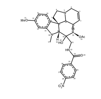 CCC12C=CCN3CC[C@@]4(c5ccc(OC)cc5N(C)[C@H]4C(O)(CNC(=O)c4ccc([N+](=O)[O-])cc4)[C@@H]1OC(C)=O)C32